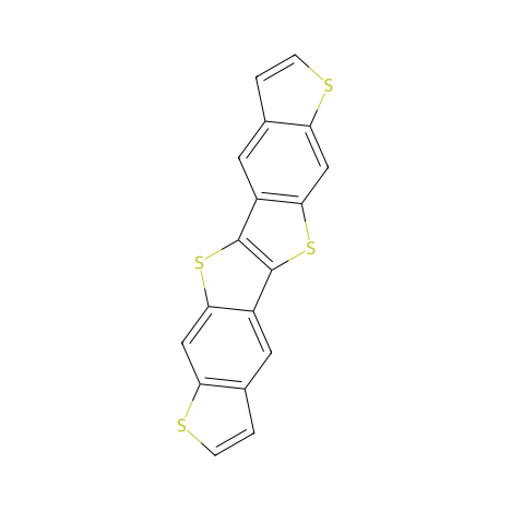 c1cc2cc3c(cc2s1)sc1c2cc4ccsc4cc2sc31